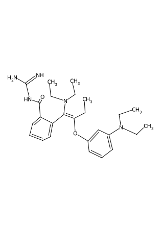 CC/C(Oc1cccc(N(CC)CC)c1)=C(/c1ccccc1C(=O)NC(=N)N)N(CC)CC